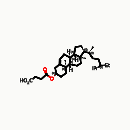 CC[C@H](CC[C@@H](C)[C@H]1CC[C@H]2[C@@H]3CC=C4C[C@@H](OC(=O)CCC(=O)O)CC[C@]4(C)[C@H]3CC[C@]12C)C(C)C